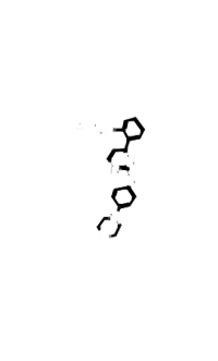 CC(=O)Nc1ccccc1-c1ccnc(Nc2ccc(N3CCOCC3)cc2)n1